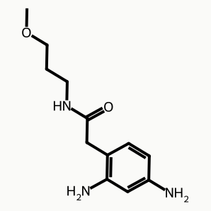 COCCCNC(=O)Cc1ccc(N)cc1N